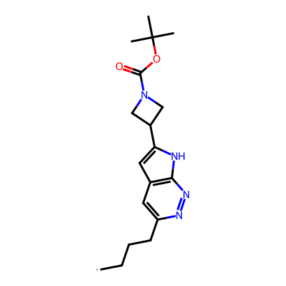 [CH2]CCCc1cc2cc(C3CN(C(=O)OC(C)(C)C)C3)[nH]c2nn1